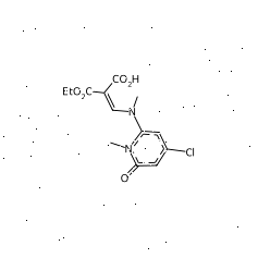 CCOC(=O)C(=CN(C)c1cc(Cl)cc(=O)n1C)C(=O)O